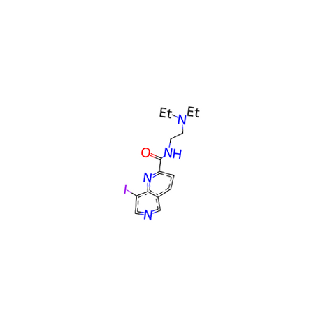 CCN(CC)CCNC(=O)c1ccc2cncc(I)c2n1